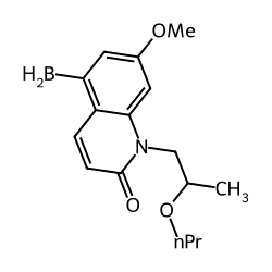 Bc1cc(OC)cc2c1ccc(=O)n2CC(C)OCCC